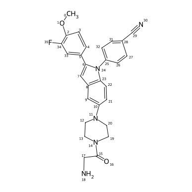 COc1ccc(-c2cc3cc(N4CCN(C(=O)CN)CC4)ccc3n2-c2ccc(C#N)cc2)cc1F